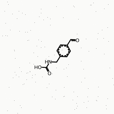 O=Cc1ccc(CNC(=O)O)cc1